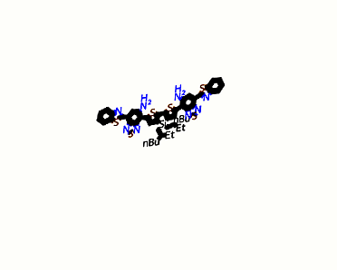 CCCCC(CC)C[Si]1(CC(CC)CCCC)c2cc(-c3c(N)cc(-c4nc5ccccc5s4)c4nsnc34)sc2-c2sc(-c3c(N)cc(-c4nc5ccccc5s4)c4nsnc34)cc21